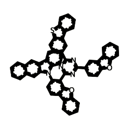 c1ccc2cc3c(cc2c1)c1ccccc1n3-c1ccc2c(oc3ccccc32)c1-c1nc(-c2ccc3oc4ccccc4c3c2)nc(-c2ccc3sc4ccccc4c3c2)n1